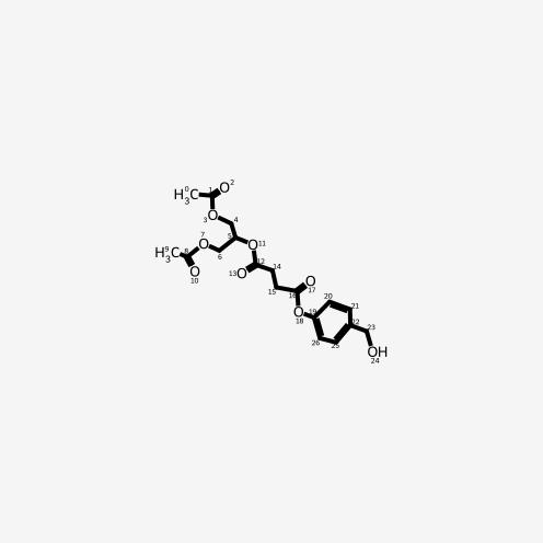 CC(=O)OCC(COC(C)=O)OC(=O)CCC(=O)Oc1ccc(CO)cc1